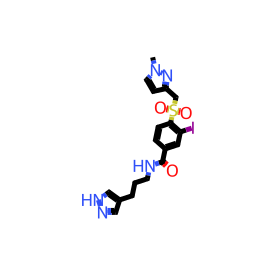 Cn1ccc(CS(=O)(=O)c2ccc(C(=O)NCCCc3cn[nH]c3)cc2I)n1